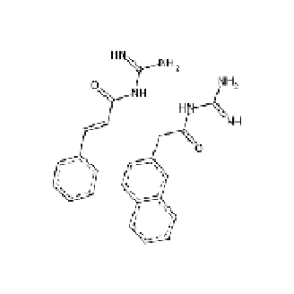 N=C(N)NC(=O)C=Cc1ccccc1.N=C(N)NC(=O)Cc1ccc2ccccc2c1